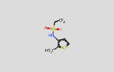 O=C(O)c1sccc1NS(=O)(=O)CC(F)(F)F